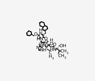 CCC[C@H](NC(=O)[C@H](Cc1c[nH]cn1)NC(=O)[C@H](Cc1ccc2ccccc2c1)NC(=O)OCc1ccccc1)[C@@](C)(O)CC(=O)N[C@H](CO)[C@@H](C)CC